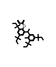 C=CC(=C)Oc1c(C(C)c2cc(C(C)(C)CC)cc(C(C)(C)CC)c2C)cc(C(C)(C)CC)cc1C(C)(C)CC